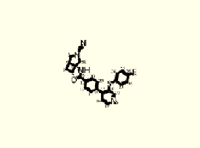 N#CN1CC2CC[C@]2(NC(=O)c2ccc(-c3ccncc3Sc3ccc(F)cc3)cc2)C1